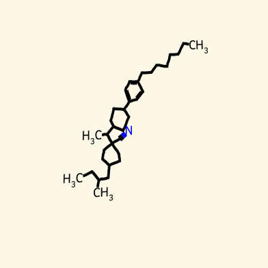 CCCCCCCCc1ccc(C2CCC(C(C)C3(C#N)CCC(CC(C)CC)CC3)CC2)cc1